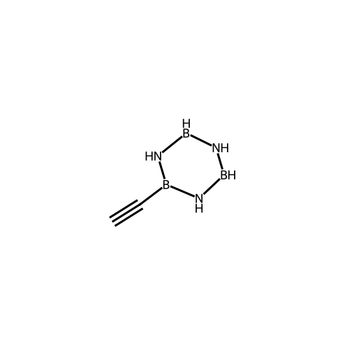 C#CB1NBNBN1